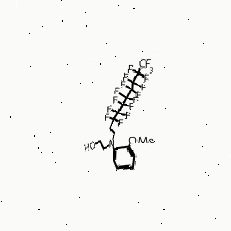 COc1ccccc1N(CCO)CCC(F)(F)C(F)(F)C(F)(F)C(F)(F)C(F)(F)C(F)(F)C(F)(F)C(F)(F)F